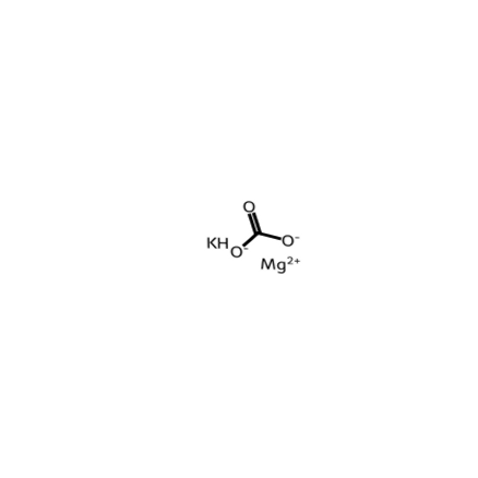 O=C([O-])[O-].[KH].[Mg+2]